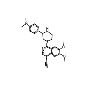 COc1cc2c(C#N)cnc(N3CCNC(c4ccc(N(C)C)cc4)C3)c2cc1OC